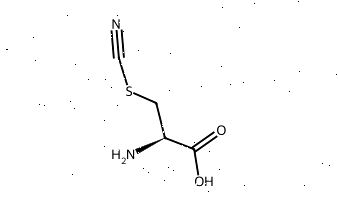 N#CSC[C@H](N)C(=O)O